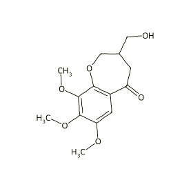 COc1cc2c(c(OC)c1OC)OCC(CO)CC2=O